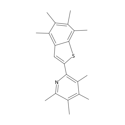 Cc1nc(-c2cc3c(C)c(C)c(C)c(C)c3s2)c(C)c(C)c1C